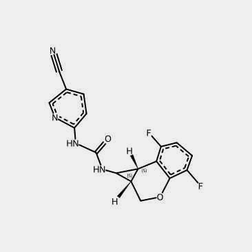 N#Cc1ccc(NC(=O)NC2[C@H]3COc4c(F)ccc(F)c4[C@@H]23)nc1